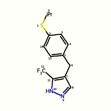 CC(C)Sc1ccc(Cc2[c]n[nH]c2C(F)(F)F)cc1